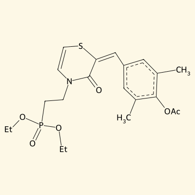 CCOP(=O)(CCN1C=CSC(=Cc2cc(C)c(OC(C)=O)c(C)c2)C1=O)OCC